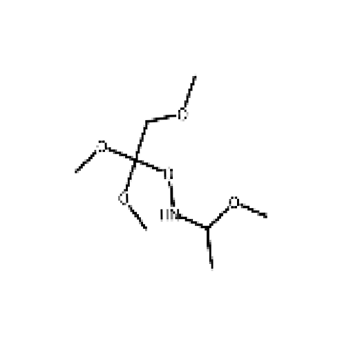 COCC(OC)(OC)ONC(C)OC